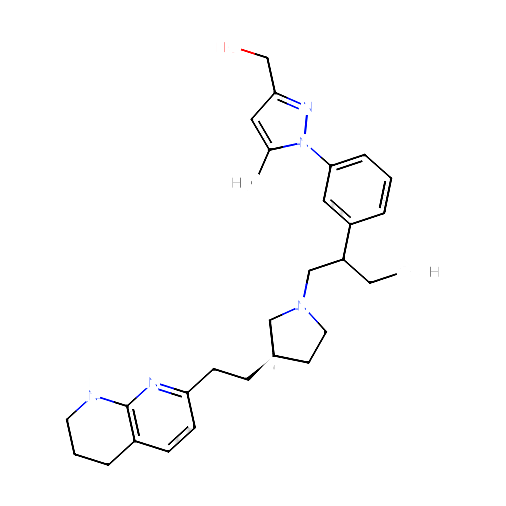 Cc1cc(CO)nn1-c1cccc(C(CC(=O)O)CN2CC[C@@H](CCc3ccc4c(n3)NCCC4)C2)c1